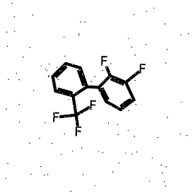 Fc1cccc(-c2cc[c]cc2C(F)(F)F)c1F